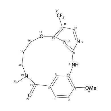 COc1ccc2cc1Nc1ncc(C(F)(F)F)c(n1)OCCCN(C)C2=O